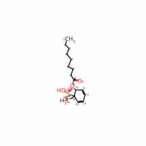 CCCCCCCCC(=O)OC1C=CC=CC1(C)S(=O)(=O)O